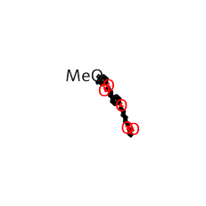 C=CC(=O)OCCCCCCOc1ccc(/C=C/C(=O)Oc2ccc(OC)c(C)c2)cc1